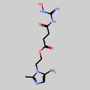 Cc1ncc([N+](=O)[O-])n1CCOC(=O)CCC(=O)NC(=N)NO